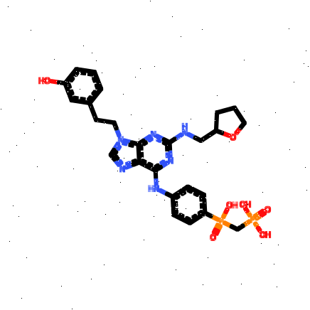 O=P(O)(O)CP(=O)(O)c1ccc(Nc2nc(NCC3CCCO3)nc3c2ncn3CCc2cccc(O)c2)cc1